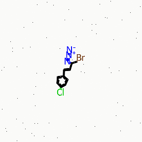 [N-]=[N+]=NC(C=Cc1ccc(Cl)cc1)CBr